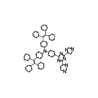 c1ccc(C(=C(c2ccccc2)c2ccc(N(c3ccc(C(=C(c4ccccc4)c4ccccc4)c4ccccc4)cc3)c3ccc(-c4nc(-c5ccncn5)nc(-c5ccncn5)n4)cc3)cc2)c2ccccc2)cc1